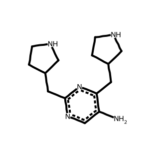 Nc1cnc(CC2CCNC2)nc1CC1CCNC1